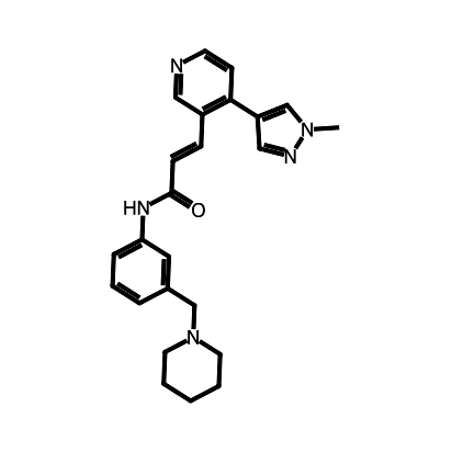 Cn1cc(-c2ccncc2C=CC(=O)Nc2cccc(CN3CCCCC3)c2)cn1